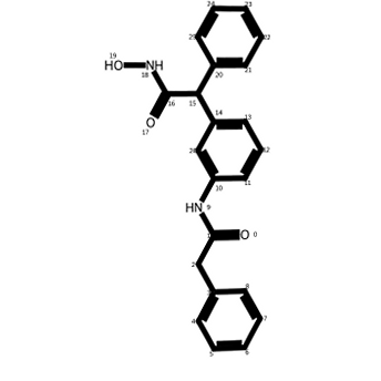 O=C(Cc1ccccc1)Nc1cccc(C(C(=O)NO)c2ccccc2)c1